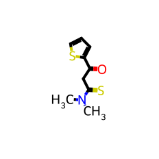 CN(C)C(=S)CC(=O)c1cccs1